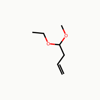 C=CCC(OC)OCC